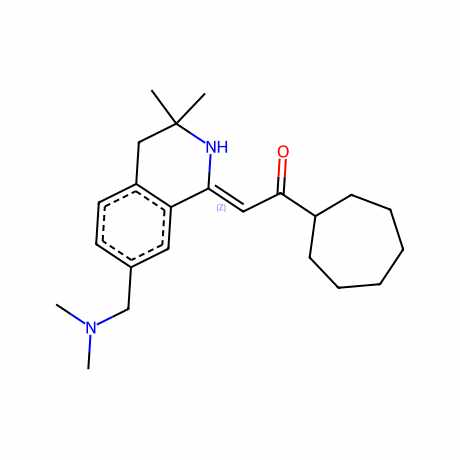 CN(C)Cc1ccc2c(c1)/C(=C/C(=O)C1CCCCCC1)NC(C)(C)C2